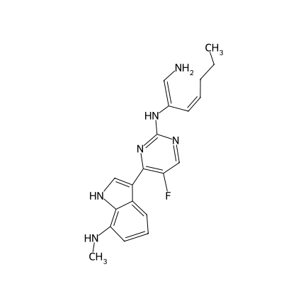 CCC/C=C\C(=C/N)Nc1ncc(F)c(-c2c[nH]c3c(NC)cccc23)n1